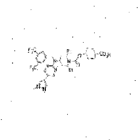 CCC1CC(N(Cc2cc(C(F)(F)F)cc(C(F)(F)F)c2)c2ncc(-c3cnn(C)c3)cn2)CC(CC)N1C(=O)OC1CCC(C(=O)O)CC1